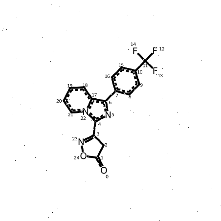 O=C1CC(c2nc(-c3ccc(C(F)(F)F)cc3)c3ccccn23)=NO1